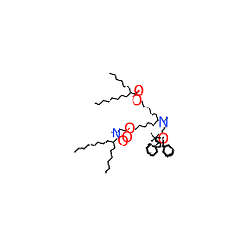 CCCCCCCCC(CCCCCC)C(=O)OCCCCCC(CCCCCOC(=O)CN(C)C(=O)C(CCCCCC)CCCCCCCC)N(C)CCO[Si](c1ccccc1)(c1ccccc1)C(C)(C)C